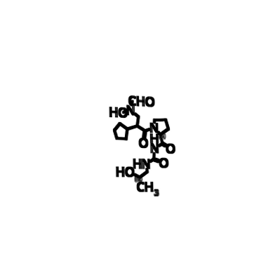 C[C@H](O)CNC(=O)NC(=O)[C@@H]1CCCN1C(=O)C(CN(O)C=O)C1CCCC1